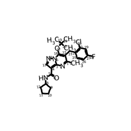 Cc1nc2c(C(=O)NC3CCCC3)cnn2c(OC(C)(C)C)c1Cc1ccc(F)cc1Cl